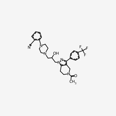 CC(=O)N1CCc2c(c(-c3ccc(C(F)(F)F)cc3)nn2CC(O)CN2CCN(c3ccccc3C#N)CC2)C1